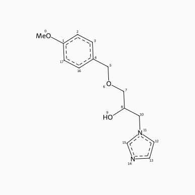 COc1ccc(COCC(O)Cn2ccnc2)cc1